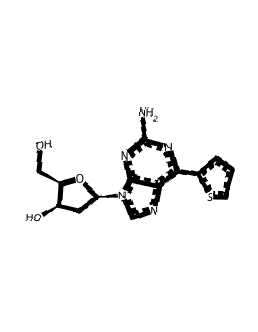 Nc1nc(-c2cccs2)c2ncn([C@H]3C[C@@H](O)[C@@H](CO)O3)c2n1